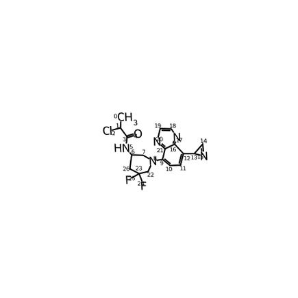 CC(Cl)C(=O)NC1CN(c2ccc(C3C=N3)c3nccnc23)CC(F)(F)C1